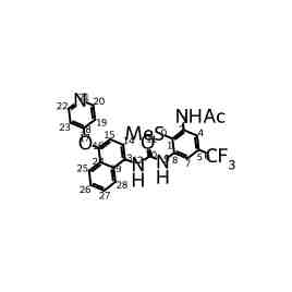 CSc1c(NC(C)=O)cc(C(F)(F)F)cc1NC(=O)Nc1ccc(Oc2ccncc2)c2ccccc12